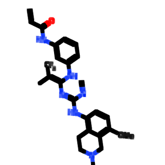 C=CC(=O)Nc1cccc(NC(/N=C(\N=C)Nc2ccc(OC)c3c2CCN(C)C3)=C(/C)C(F)(F)F)c1